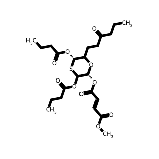 CCCC(=O)CCC1O[C@H](OC(=O)/C=C/C(=O)OC)C(OC(=O)CCC)S[C@@H]1OC(=O)CCC